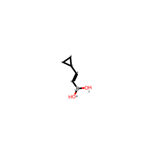 OB(O)/C=C/C1CC1